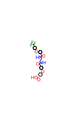 O=C(NCCNC(=O)c1cccc(Oc2ccc(C(F)(F)F)cc2)c1)c1ccc(O[C@H]2CC[C@@H](C(=O)O)CC2)cc1